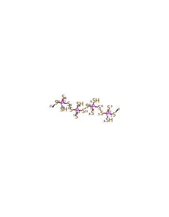 CSP(=S)(S)SSP(=S)(S)SSP(=S)(S)SSP(=S)(S)SC